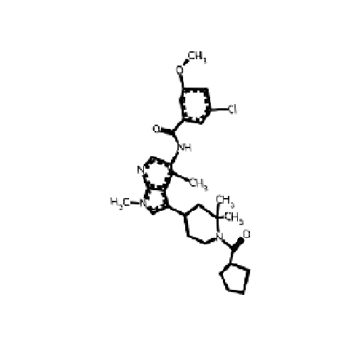 COc1cc(Cl)cc(C(=O)Nc2cnc3c(c(C4CCN(C(=O)C5CCCC5)C(C)(C)C4)cn3C)c2C)c1